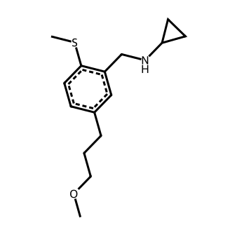 COCCCc1ccc(SC)c(CNC2CC2)c1